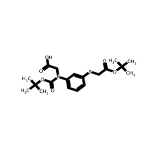 CC(C)(C)OC(=O)CSc1cccc(N(CC(=O)O)C(=O)OC(C)(C)C)c1